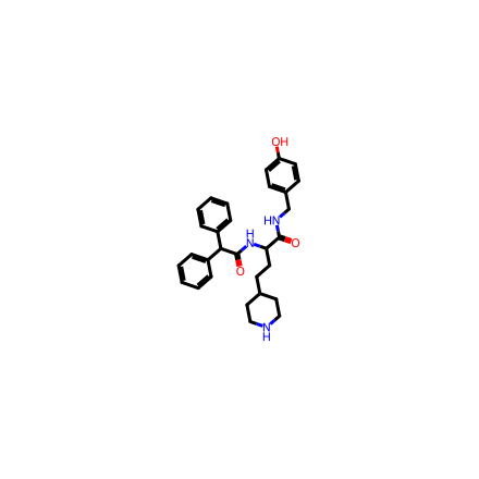 O=C(NCc1ccc(O)cc1)C(CCC1CCNCC1)NC(=O)C(c1ccccc1)c1ccccc1